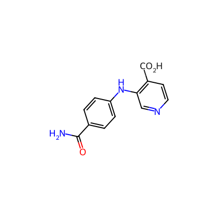 NC(=O)c1ccc(Nc2cnccc2C(=O)O)cc1